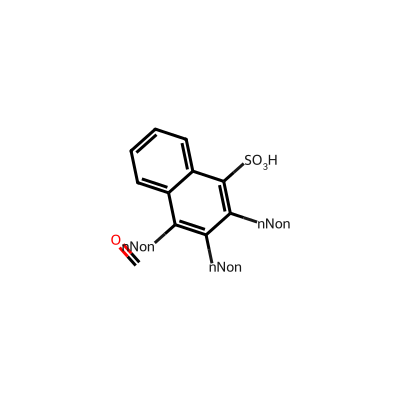 C=O.CCCCCCCCCc1c(CCCCCCCCC)c(S(=O)(=O)O)c2ccccc2c1CCCCCCCCC